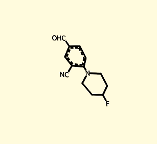 N#Cc1cc(C=O)ccc1N1CCC(F)CC1